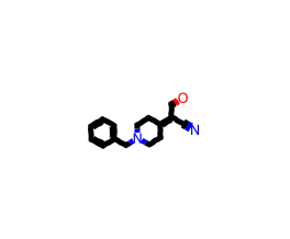 N#CC(C=O)=C1CCN(Cc2ccccc2)CC1